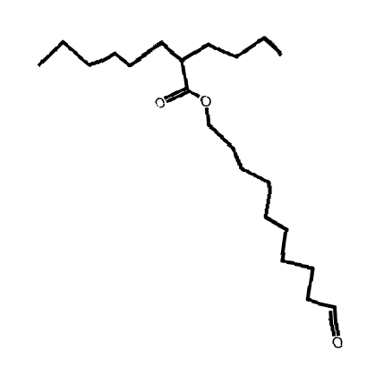 CCCCCCC(CCCC)C(=O)OCCCCCCCCCC=O